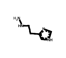 NNCCc1c[nH]cn1